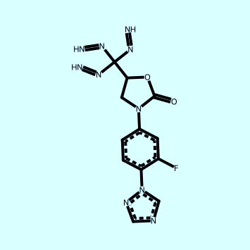 N=NC(N=N)(N=N)C1CN(c2ccc(-n3cncn3)c(F)c2)C(=O)O1